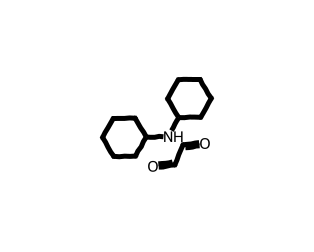 C1CCC(NC2CCCCC2)CC1.O=CC=O